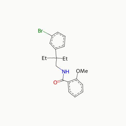 CCC(CC)(CNC(=O)c1ccccc1OC)c1cccc(Br)c1